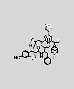 CC(C)CC(NC(=O)C(Cc1ccccc1)NC(=O)C(N)Cc1ccc(O)cc1)C(=O)NC(CCCCN)C(=O)N1C2CNCC1C2